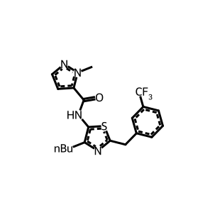 CCCCc1nc(Cc2cccc(C(F)(F)F)c2)sc1NC(=O)c1ccnn1C